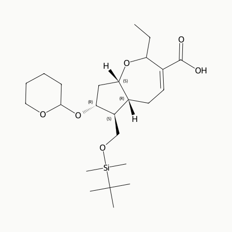 CCC1O[C@H]2C[C@@H](OC3CCCCO3)[C@H](CO[Si](C)(C)C(C)(C)C)[C@H]2CC=C1C(=O)O